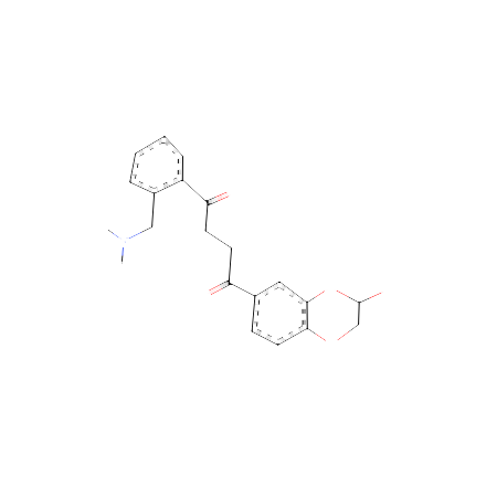 CN(C)Cc1ccccc1C(=O)CCC(=O)c1ccc2c(c1)OC(O)CO2